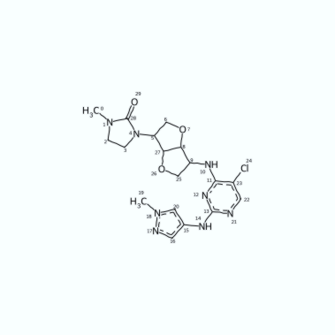 CN1CCN(C2COC3C(Nc4nc(Nc5cnn(C)c5)ncc4Cl)COC32)C1=O